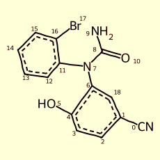 N#Cc1ccc(O)c(N(C(N)=O)c2ccccc2Br)c1